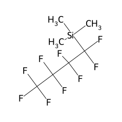 C[Si](C)(C)C(F)(F)C(F)(F)C(F)(F)C(F)(F)F